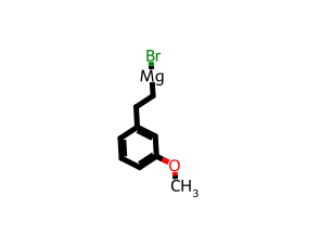 COc1cccc(C[CH2][Mg][Br])c1